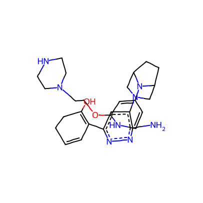 Nc1nnc(C2=C(O)CCC=C2)cc1N1CC2CCC(C1)N2C1=CC(OCCN2CCNCC2)NC=C1